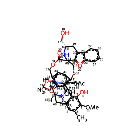 COc1c(C)cc2c(c1O)[C@H]1C3[C@@H]4SC[C@]5(N[C@H](CO)Cc6c5oc5ccccc65)C(=O)OC[C@@H](c5c6c(c(C)c(OC(C)=O)c54)OCO6)N3[C@@H](C#N)[C@H](C2)N1C